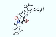 Cc1ccc(C(=O)O)cc1-c1ccc2c(=O)n(Cc3ccccc3)cc(Br)c2c1